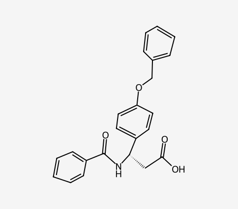 O=C(O)C[C@H](NC(=O)c1ccccc1)c1ccc(OCc2ccccc2)cc1